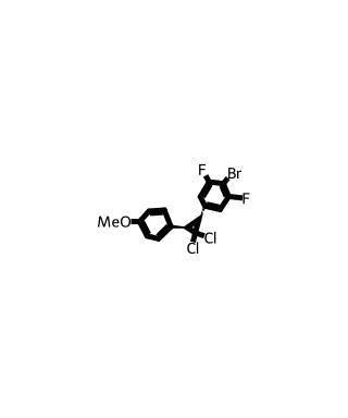 COc1ccc([C@H]2[C@H](c3cc(F)c(Br)c(F)c3)C2(Cl)Cl)cc1